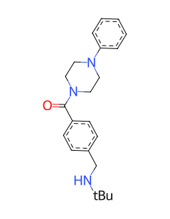 CC(C)(C)NCc1ccc(C(=O)N2CCN(c3ccccc3)CC2)cc1